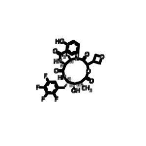 C[C@H]1NC(=O)C(C2COC2)OC(=O)[C@H](C)[C@H](O)[C@H](Cc2cc(F)c(F)c(F)c2F)NC(=O)[C@H]1NC(=O)c1ccccc1O